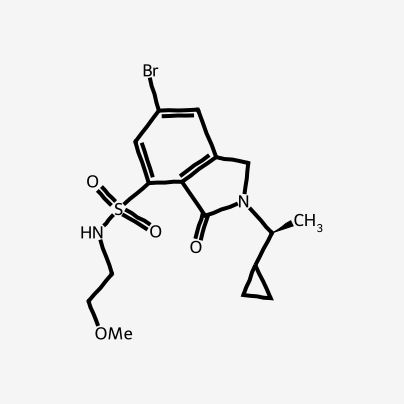 COCCNS(=O)(=O)c1cc(Br)cc2c1C(=O)N([C@@H](C)C1CC1)C2